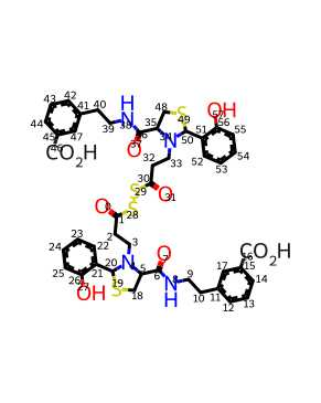 O=C(CCN1C(C(=O)NCCc2cccc(C(=O)O)c2)CSC1c1ccccc1O)SSC(=O)CCN1C(C(=O)NCCc2cccc(C(=O)O)c2)CSC1c1ccccc1O